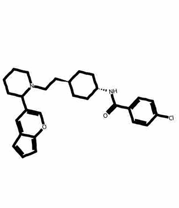 O=C(N[C@H]1CC[C@H](CCN2CCCCC2c2coc3cccc-3c2)CC1)c1ccc(Cl)cc1